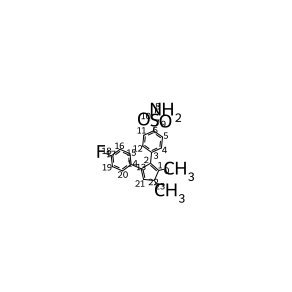 CC1=C(c2ccc(S(N)(=O)=O)cc2)C(c2ccc(F)cc2)=CC1C